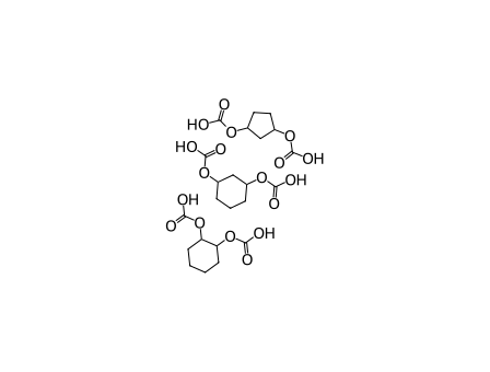 O=C(O)OC1CCC(OC(=O)O)C1.O=C(O)OC1CCCC(OC(=O)O)C1.O=C(O)OC1CCCCC1OC(=O)O